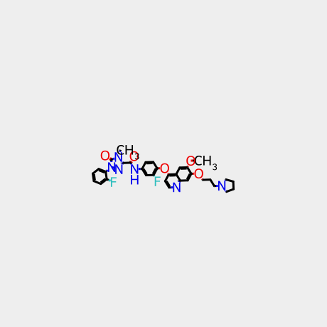 COc1cc2c(Oc3ccc(NC(=O)c4nn(-c5ccccc5F)c(=O)n4C)cc3F)ccnc2cc1OCCCN1CCCC1